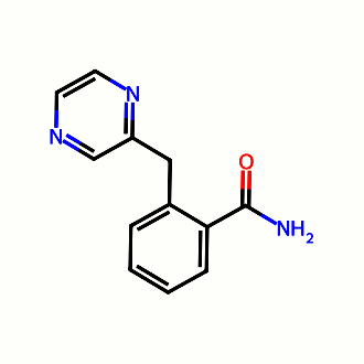 NC(=O)c1ccccc1Cc1cnccn1